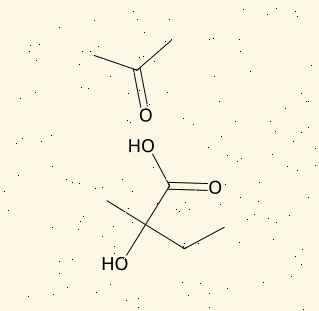 CC(C)=O.CCC(C)(O)C(=O)O